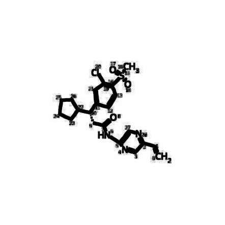 C=Cc1cnc(NC(=O)C[C@@H](c2ccc(S(C)(=O)=O)c(Cl)c2)C2CCCC2)cn1